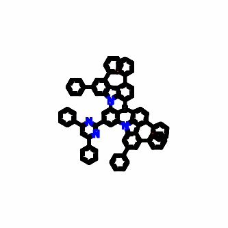 c1ccc(-c2cc(-c3ccccc3)c3c4c(-c5ccccc5)ccc5c4n(c3c2)-c2cc(-c3nc(-c4ccccc4)cc(-c4ccccc4)n3)cc3c2B5c2ccc(-c4ccccc4)c4c5c(-c6ccccc6)cc(-c6ccccc6)cc5n-3c24)cc1